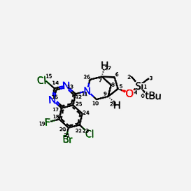 CC(C)(C)[Si](C)(C)O[C@@H]1C[C@H]2C[C@@H]1CN(c1nc(Cl)nc3c(F)c(Br)c(Cl)cc13)C2